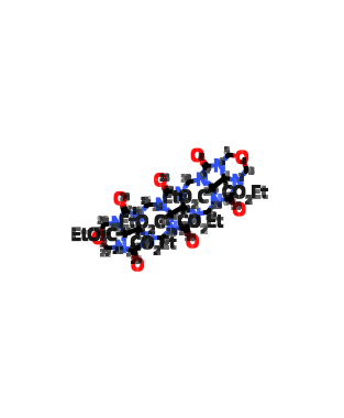 CCOC(=O)C12N3COCN1C(=O)N1CN4C(=O)N5CN6C(=O)N7COCN8C(=O)N(CN9C(=O)N(CN(C3=O)C12C(=O)OCC)C4(C(=O)OCC)C95C(=O)OCC)C6(C(=O)OCC)C87C(=O)OCC